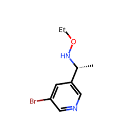 CCON[C@H](C)c1cncc(Br)c1